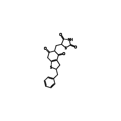 O=C1NC(=O)C(CC2C(=O)CC3=C(CC(Cc4ccccc4)S3)C2=O)S1